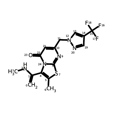 C=C(NC)c1c(C)sc2nc(Cn3cc(C(F)(F)F)cn3)cc(=O)n12